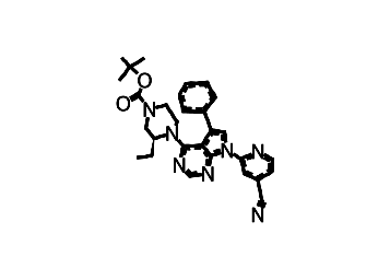 CC[C@H]1CN(C(=O)OC(C)(C)C)CCN1c1ncnc2c1c(-c1ccccc1)cn2-c1cc(C#N)ccn1